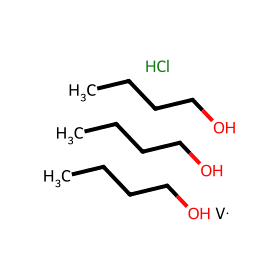 CCCCO.CCCCO.CCCCO.Cl.[V]